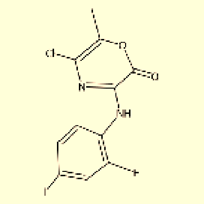 Cc1oc(=O)c(Nc2ccc(I)cc2F)nc1Cl